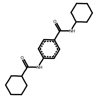 O=C(NC1CCCCC1)c1ccc(NC(=O)C2CCCCC2)cc1